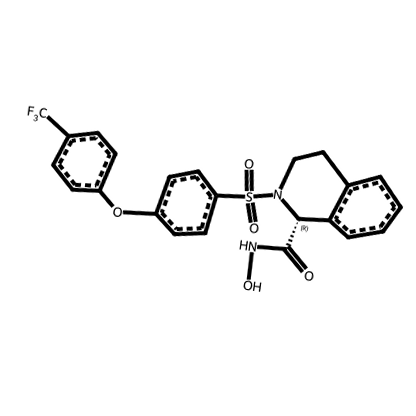 O=C(NO)[C@H]1c2ccccc2CCN1S(=O)(=O)c1ccc(Oc2ccc(C(F)(F)F)cc2)cc1